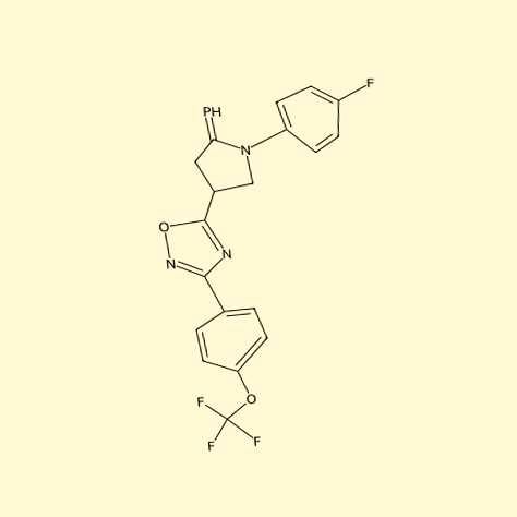 Fc1ccc(N2CC(c3nc(-c4ccc(OC(F)(F)F)cc4)no3)CC2=P)cc1